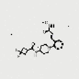 O=C(/C=C/c1ccccc1N1CCC(NC(=O)C2CC(F)(F)C2)CC1)NO